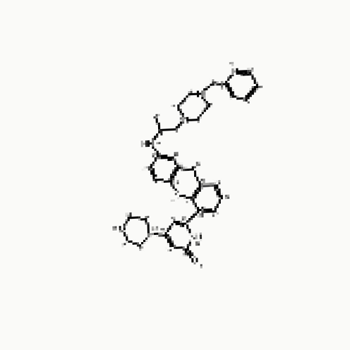 CC(CN1CCN(Cc2ccccn2)CC1)Nc1ccc2c(c1)Sc1cccc(-c3cc(N4CCOCC4)cc(=O)[nH]3)c1S2